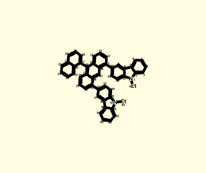 CCn1c2ccccc2c2cc(-c3cccc4c(-c5cccc6ccccc56)c5cccc(-c6ccc7c(c6)c6ccccc6n7CC)c5cc34)ccc21